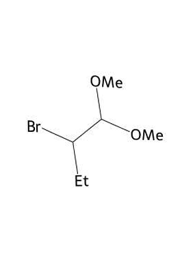 CCC(Br)C(OC)OC